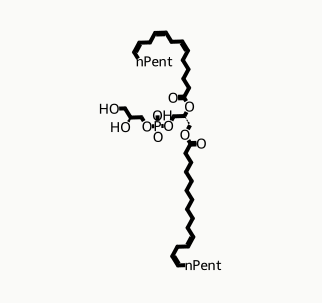 CCCCC/C=C\C/C=C\C/C=C\CCCCC(=O)O[C@H](COC(=O)CCCCCCCCC/C=C\C/C=C\CCCCC)COP(=O)(O)OC[C@@H](O)CO